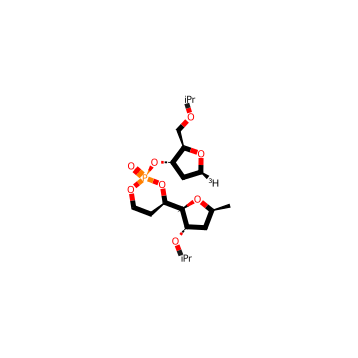 [3H][C@H]1C[C@H](O[P@]2(=O)OCC[C@H]([C@H]3O[C@@H](C)C[C@@H]3OC(C)C)O2)[C@@H](COC(C)C)O1